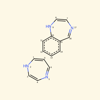 C1=CNC=CN=C1.C1=CNc2ccccc2C=N1